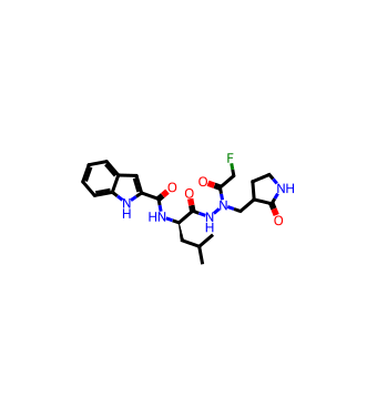 CC(C)C[C@@H](NC(=O)c1cc2ccccc2[nH]1)C(=O)NN(CC1CCNC1=O)C(=O)CF